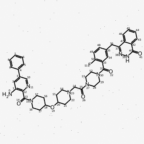 Nc1cc(-c2ccccc2)cnc1C(=O)N1CCC(OC2CCN(CC(=O)N3CCN(C(=O)c4cc(Cc5n[nH]c(=O)c6ccccc56)ccc4F)CC3)CC2)CC1